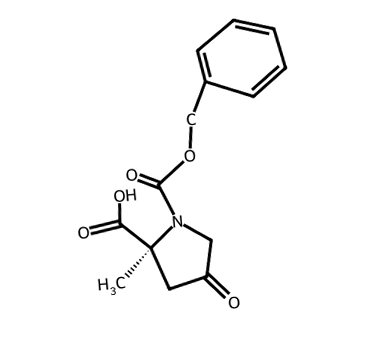 C[C@@]1(C(=O)O)CC(=O)CN1C(=O)OCc1ccccc1